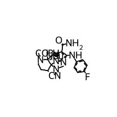 CCC(C)C1(C(C)CC)N(C(=O)O)CCC(C#N)C1(N(C)C)n1cc(C(N)=O)c(Nc2ccc(F)cc2)n1